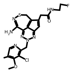 COc1c(C)cnc(Cn2nc3cc(CC(=O)NCCF)c4c-3c(n2)C(N)=NSC4)c1Cl